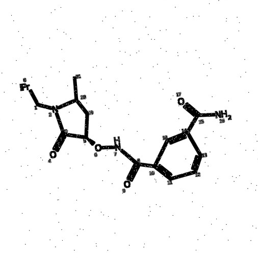 CC(C)CN1C(=O)[C@H](ONC(=O)c2cccc(C(N)=O)c2)CC1C